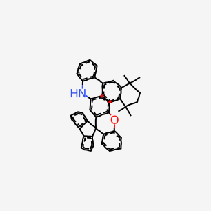 CC1(C)CCC(C)(C)c2cc(-c3ccccc3Nc3ccc4c(c3)C3(c5ccccc5O4)c4ccccc4-c4ccccc43)ccc21